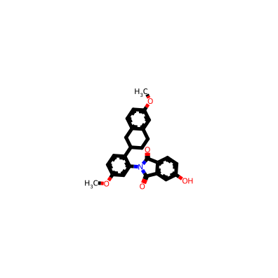 COc1ccc2c(c1)CCC(c1ccc(OC)cc1N1C(=O)c3ccc(O)cc3C1=O)C2